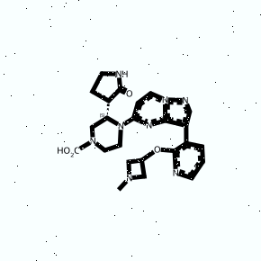 CN1CC(Oc2ncccc2-c2cnn3ccc(N4CCN(C(=O)O)C[C@@H]4C4CCNC4=O)nc23)C1